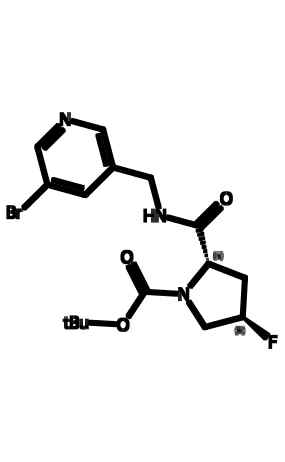 CC(C)(C)OC(=O)N1C[C@H](F)C[C@H]1C(=O)NCc1cncc(Br)c1